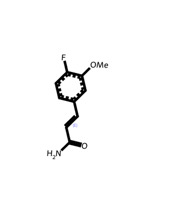 COc1cc(/C=C/C(N)=O)ccc1F